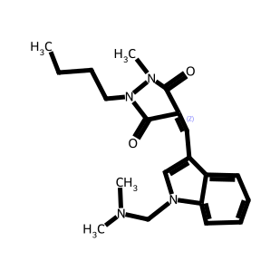 CCCCN1C(=O)/C(=C\c2cn(CN(C)C)c3ccccc23)C(=O)N1C